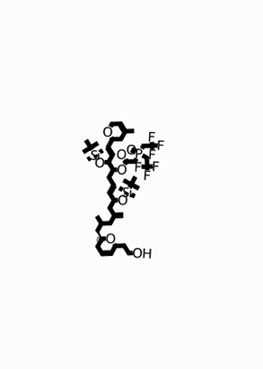 C=C(CC(C)C[C@@H]1CC=CC(CCO)O1)CC(C=CCC(OC(=O)CP(=O)(CC(F)(F)F)CC(F)(F)F)C(C=CC1CC(C)=CCO1)O[Si](C)(C)C(C)(C)C)O[Si](C)(C)C(C)(C)C